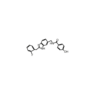 O=C(NCc1ccc2nc(Cc3ccccc3F)[nH]c2c1)c1ccc(O)cc1